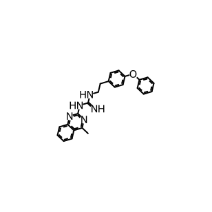 Cc1nc(NC(=N)NCCc2ccc(Oc3ccccc3)cc2)nc2ccccc12